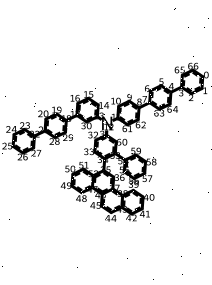 c1ccc(-c2ccc(-c3ccc(N(c4cccc(-c5ccc(-c6ccccc6)cc5)c4)c4ccc(-c5cc6c7ccccc7ccc6c6ccccc56)c(-c5ccccc5)c4)cc3)cc2)cc1